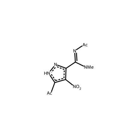 CNC(=NC(C)=O)c1n[nH]c(C(C)=O)c1[N+](=O)[O-]